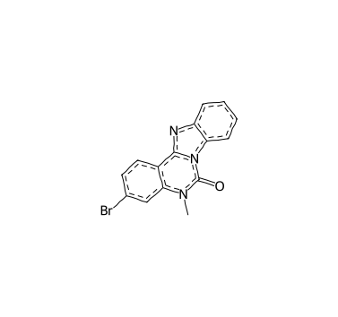 Cn1c(=O)n2c3ccccc3nc2c2ccc(Br)cc21